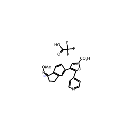 CO/N=C1/CCc2cc(-c3cc(C(=O)O)oc3-c3ccncc3)ccc21.O=C(O)C(F)(F)F